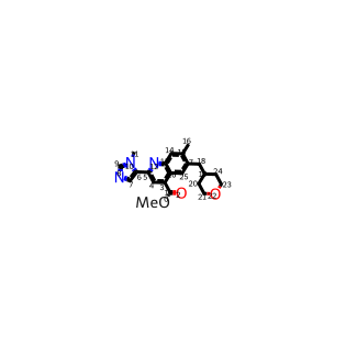 COC(=O)c1cc(-c2cncn2C)nc2cc(C)c(CC3CCOCC3)cc12